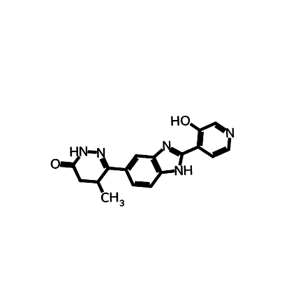 CC1CC(=O)NN=C1c1ccc2[nH]c(-c3ccncc3O)nc2c1